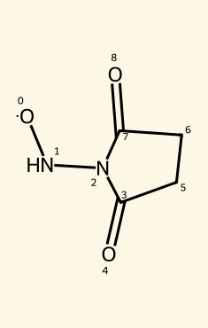 [O]NN1C(=O)CCC1=O